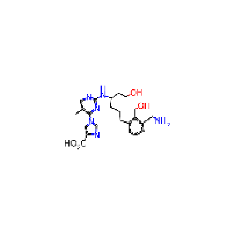 Cc1cnc(NC(CCO)CCCc2cccc(CN)c2CO)nc1-n1cnc(C(=O)O)c1